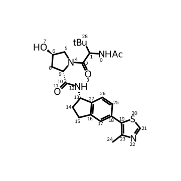 CC(=O)NC(C(=O)N1C[C@H](O)C[C@H]1C(=O)N[C@H]1CCc2cc(-c3scnc3C)ccc21)C(C)(C)C